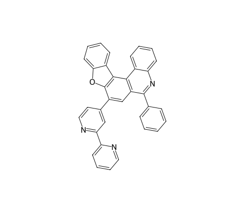 c1ccc(-c2nc3ccccc3c3c2cc(-c2ccnc(-c4ccccn4)c2)c2oc4ccccc4c23)cc1